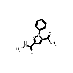 CNC(=O)c1cc(C(N)=O)n(-c2ccccc2)n1